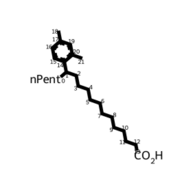 CCCCCC(CCCCCCCCCCCC(=O)O)c1ccc(C)cc1C